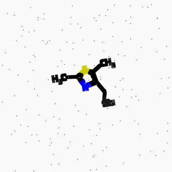 Cc1nc(CC(C)(C)C)c(C)s1